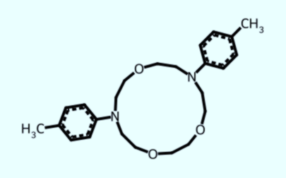 Cc1ccc(N2CCOCCOCCN(c3ccc(C)cc3)CCOCC2)cc1